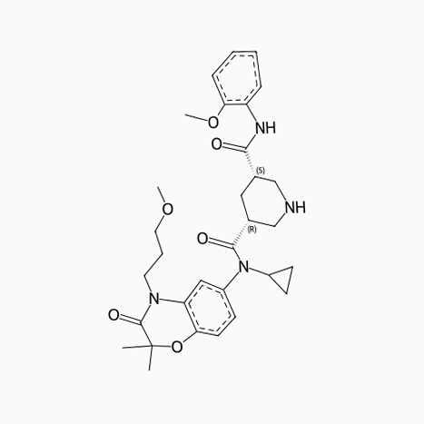 COCCCN1C(=O)C(C)(C)Oc2ccc(N(C(=O)[C@H]3CNC[C@@H](C(=O)Nc4ccccc4OC)C3)C3CC3)cc21